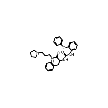 O=C(Nc1ccccc1Oc1ccccc1)NC(Cc1ccccc1)C(=O)NCCCN1CCCC1